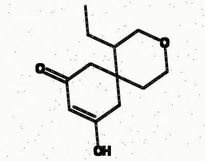 CCC1COCCC12CC(=O)C=C(O)C2